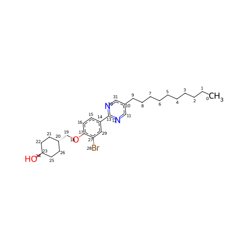 CCCCCCCCCCc1cnc(-c2ccc(OC[C@H]3CC[C@H](O)CC3)c(Br)c2)nc1